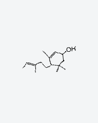 C/C=C(\C)CCC1C(C)=C[C@@H](O)CC1(C)C